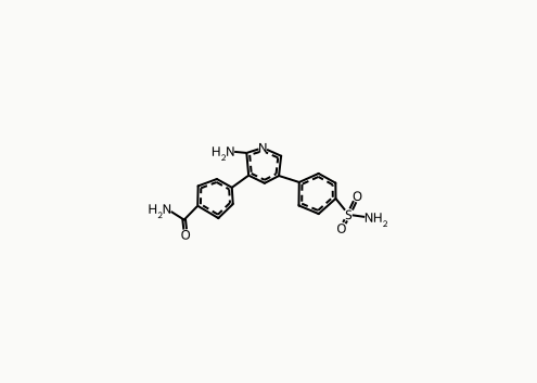 NC(=O)c1ccc(-c2cc(-c3ccc(S(N)(=O)=O)cc3)cnc2N)cc1